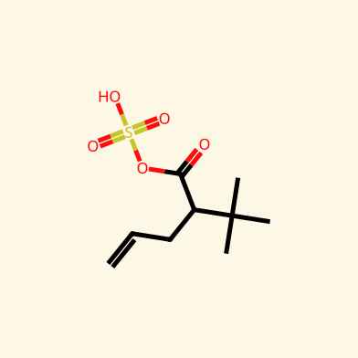 C=CCC(C(=O)OS(=O)(=O)O)C(C)(C)C